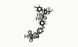 Cc1ccc(-n2nc(C(C)(C)C)cc2NC(=O)Nc2ccc(CC3CCN(C(=O)C[C@@H]4NC(=O)NC4=O)CC3)cc2)cc1